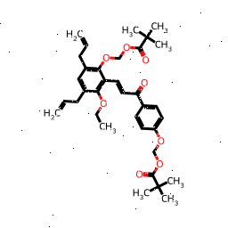 C=CCc1cc(CC=C)c(OCOC(=O)C(C)(C)C)c(/C=C/C(=O)c2ccc(OCOC(=O)C(C)(C)C)cc2)c1OCC